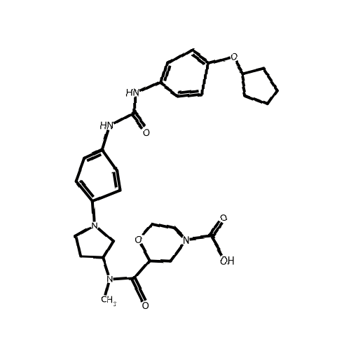 CN(C(=O)C1CN(C(=O)O)CCO1)C1CCN(c2ccc(NC(=O)Nc3ccc(OC4CCCC4)cc3)cc2)C1